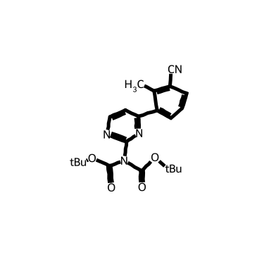 Cc1c(C#N)cccc1-c1ccnc(N(C(=O)OC(C)(C)C)C(=O)OC(C)(C)C)n1